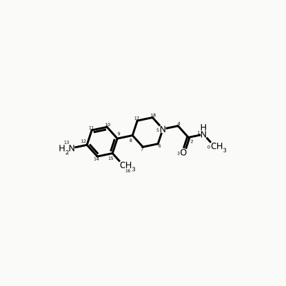 CNC(=O)CN1CCC(c2ccc(N)cc2C)CC1